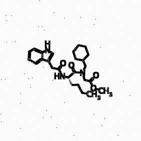 CCCC[C@H](NC(=O)Cc1c[nH]c2ccccc12)C(=O)N(CC(=O)OC)CC1CCCCC1